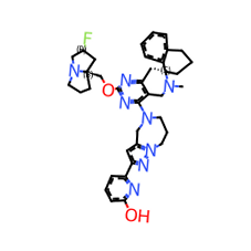 CN1Cc2c(nc(OC[C@@]34CCCN3C[C@H](F)C4)nc2N2CCCn3nc(-c4cccc(O)n4)cc3C2)C[C@]12CCCc1ccccc12